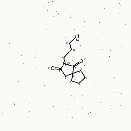 O=C1CC2(CCCC2)C(=O)N1CCCCl